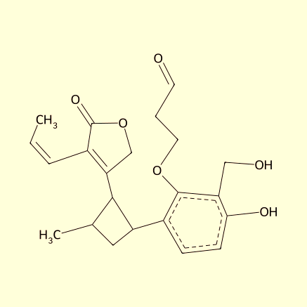 C/C=C\C1=C(C2C(C)CC2c2ccc(O)c(CO)c2OCCC=O)COC1=O